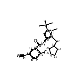 Cn1c(C(C)(C)C)cc(=NC(=O)c2cc(C#N)ccc2F)n1CC1CCCC1